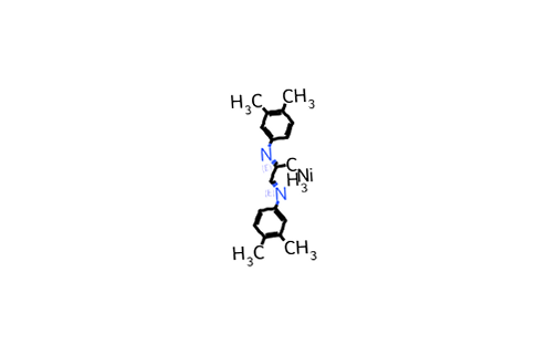 CC(/C=N/c1ccc(C)c(C)c1)=N\c1ccc(C)c(C)c1.[Ni]